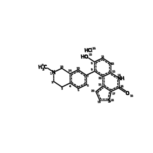 CN1CCc2ccc(-c3c(O)ccc4[nH]c(=O)c5sccc5c34)cc2C1.Cl